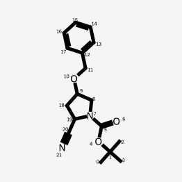 CC(C)(C)OC(=O)N1CC(OCc2ccccc2)CC1C#N